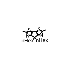 CCCCCCC1(CCCCCC)c2nc(C)sc2-c2sc(C)nc21